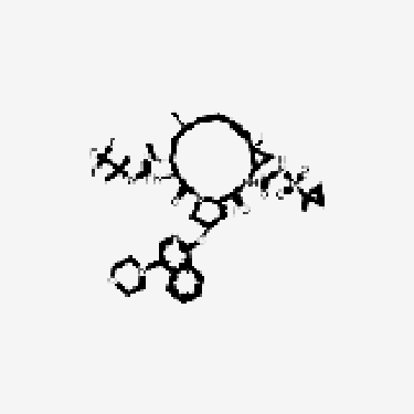 CC[C@@H]1C[C@@H](C)CCC=C[C@@H]2C[C@@]2(C(=O)NS(=O)(=O)C2(C)CC2)NC(=O)[C@@H]2C[C@@H](Oc3ncc(N4CCOCC4)c4ccccc34)CN2C(=O)[C@H]1NC(=O)OC(C)(C)C(F)(F)F